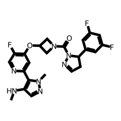 CNc1cnn(C)c1-c1cc(OC2CN(C(=O)N3N=CCC3c3cc(F)cc(F)c3)C2)c(F)cn1